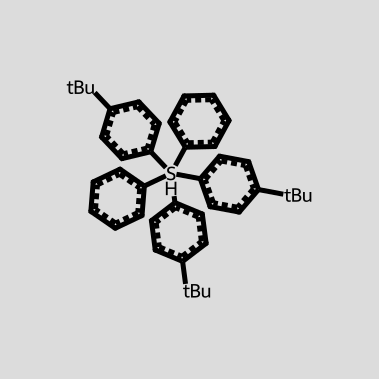 CC(C)(C)c1ccc([SH](c2ccccc2)(c2ccccc2)(c2ccc(C(C)(C)C)cc2)c2ccc(C(C)(C)C)cc2)cc1